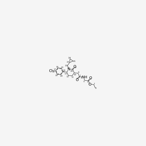 CCOC(=O)CNC(=O)CC1CC[C@@H](c2ccc(Cl)cc2)N(CC2CC2)C1=O